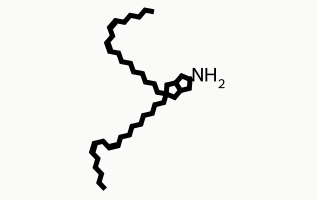 CCCCC/C=C\C/C=C\CCCCCCCCC1(CCCCCCCC/C=C\C/C=C\CCCCC)CC2CC(N)CC2C1